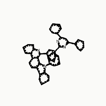 c1ccc(-c2cc(-c3ccccc3)nc(-c3cccc(-c4nc5ccccc5c5ccc6c7ccccc7n(-c7ccccc7)c6c45)c3)n2)cc1